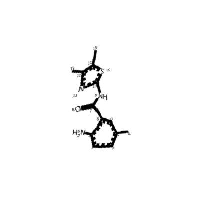 Cc1ccc(N)c(C(=O)Nc2nc(C)c(C)s2)c1